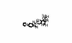 [2H]c1nc(C[S+]([O-])c2nc3cc(-n4cccc4)ccc3n2[2H])c(C)c(OC([2H])([2H])[2H])c1[2H]